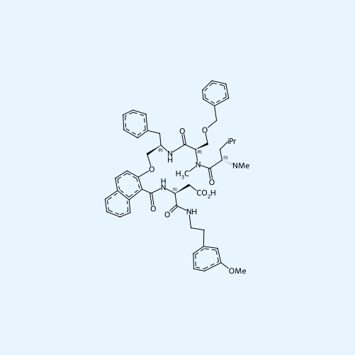 CN[C@@H](CC(C)C)C(=O)N(C)[C@H](COCc1ccccc1)C(=O)N[C@@H](COc1ccc2ccccc2c1C(=O)N[C@@H](CC(=O)O)C(=O)NCCc1cccc(OC)c1)Cc1ccccc1